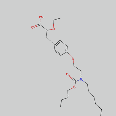 CCCCCCN(CCOc1ccc(CC(OCC)C(=O)O)cc1)C(=O)OCCCC